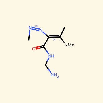 C/N=N\C(C(=O)NCN)=C(/C)NC